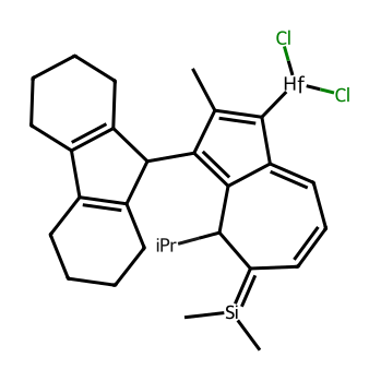 CC1=[C]([Hf]([Cl])[Cl])C2=CC=CC(=[Si](C)C)C(C(C)C)C2=C1C1C2=C(CCCC2)C2=C1CCCC2